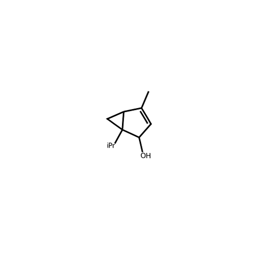 CC1=CC(O)C2(C(C)C)CC12